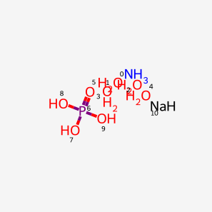 N.O.O.O.O.O=P(O)(O)O.[NaH]